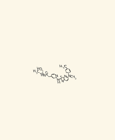 CCC(CO)NC(=O)Cc1ccnc(Nc2nc3ccc(N(C)c4ccc(C)cc4)nc3s2)c1